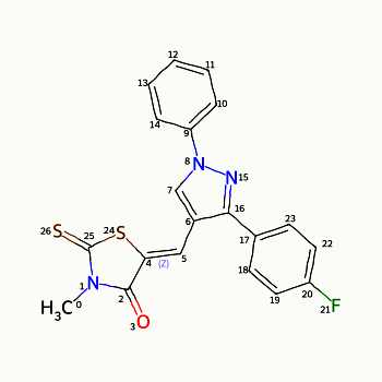 CN1C(=O)/C(=C/c2cn(-c3ccccc3)nc2-c2ccc(F)cc2)SC1=S